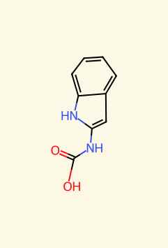 O=C(O)Nc1cc2ccccc2[nH]1